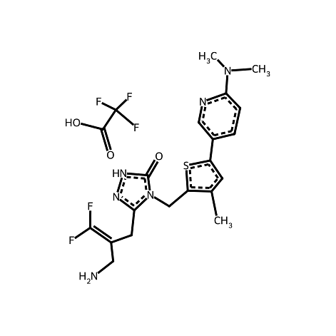 Cc1cc(-c2ccc(N(C)C)nc2)sc1Cn1c(CC(CN)=C(F)F)n[nH]c1=O.O=C(O)C(F)(F)F